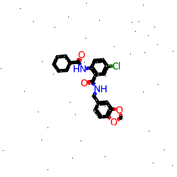 O=C(NCc1ccc2c(c1)OCO2)c1cc(Cl)ccc1NC(=O)C1CCCCC1